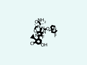 C[C@H]1COc2nc(-c3cc(O)cc(Cl)c3C3CC3)c(F)c3nc(OC[C@@]45CCCN4C[C@H](F)C5)nc(c23)N1[C@@H](C)C(N)=O